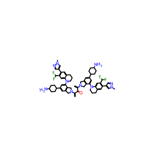 C=C(C(=O)C(=C)N1Cc2cc(C3CCC(N)CC3)cc(N3CCCc4cc(-c5cnn(C)c5)c(C(F)F)cc43)c2C1)N1Cc2cc(C3CCC(N)CC3)cc(N3CCCc4cc(-c5cnn(C)c5)c(C(F)F)cc43)c2C1